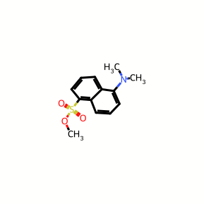 COS(=O)(=O)c1cccc2c(N(C)C)cccc12